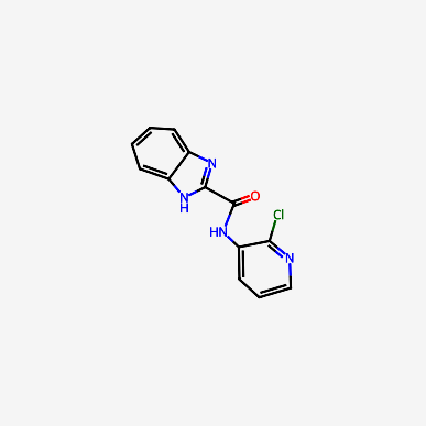 O=C(Nc1cccnc1Cl)c1nc2ccccc2[nH]1